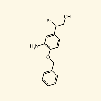 Nc1cc(C(Br)CO)ccc1OCc1ccccc1